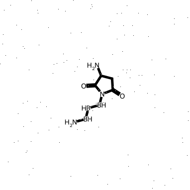 NBBBN1C(=O)CC(N)C1=O